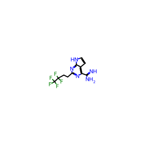 N=C(N)c1nc(CCC(F)(F)C(F)(F)F)nc2[nH]ccc12